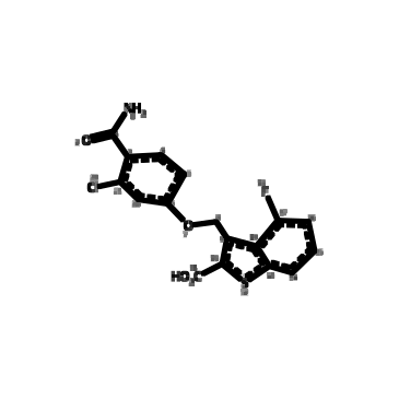 NC(=O)c1ccc(OCc2c(C(=O)O)sc3cccc(F)c23)cc1Cl